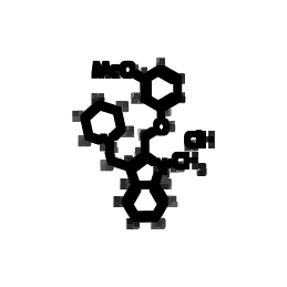 COc1cccc(OCc2c(CN3CCCCC3)c3ccccc3n2C)c1.Cl